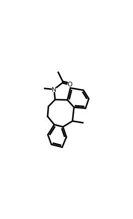 CC(=O)N(C)C1CCc2ccccc2C(C)c2ccccc21